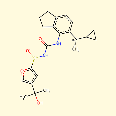 C[C@H](c1ccc2c(c1NC(=O)N[S+]([O-])c1cc(C(C)(C)O)co1)CCC2)C1CC1